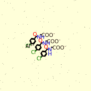 O=C([O-])CNC(=O)c1ccc(Cl)cc1.O=C([O-])CNC(=O)c1ccc(Cl)cc1.O=C([O-])CNC(=O)c1ccc(Cl)cc1.[Al+3]